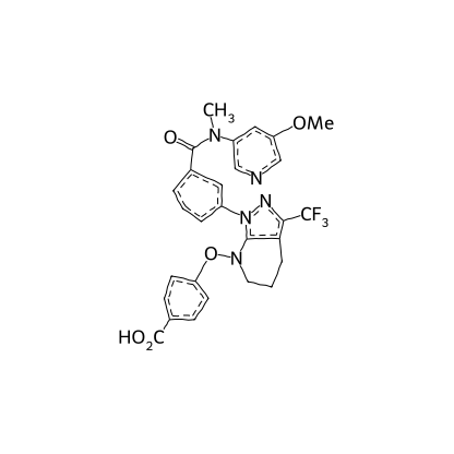 COc1cncc(N(C)C(=O)c2cccc(-n3nc(C(F)(F)F)c4c3N(Oc3ccc(C(=O)O)cc3)CCC4)c2)c1